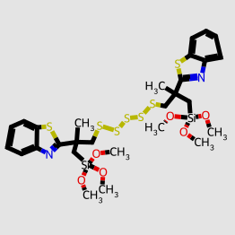 CO[Si](CC(C)(CSSSSSCC(C)(C[Si](OC)(OC)OC)c1nc2ccccc2s1)c1nc2ccccc2s1)(OC)OC